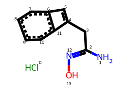 Cl.NC(CC1=Cc2ccccc21)=NO